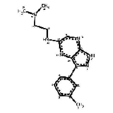 Cc1cccc(-c2n[nH]c3ncc(NCCN(C)C)nc23)c1